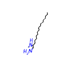 CCCCCCCCCCCCCCCCC(CN)NC